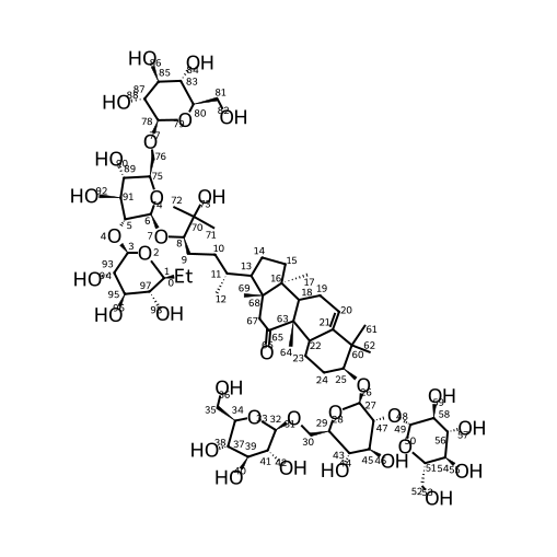 CC[C@@H]1O[C@H](O[C@H]2[C@H](O[C@H](CC[C@@H](C)C3CC[C@@]4(C)C5CC=C6C(CC[C@H](O[C@@H]7O[C@H](CO[C@@H]8O[C@H](CO)[C@@H](O)[C@H](O)[C@H]8O)[C@@H](O)[C@H](O)[C@H]7O[C@H]7O[C@@H](CO)[C@H](O)[C@@H](O)[C@@H]7O)C6(C)C)[C@]5(C)C(=O)C[C@]34C)C(C)(C)O)O[C@H](CO[C@@H]3O[C@H](CO)[C@@H](O)[C@H](O)[C@H]3O)[C@@H](O)[C@@H]2O)[C@@H](O)[C@H](O)[C@H]1O